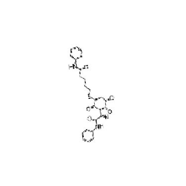 O=C(CCCCSC1=CC(=O)c2onc(C(=O)Nc3ccccc3)c2C1=O)Nc1ccccc1